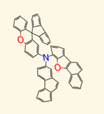 c1ccc2c(c1)Oc1ccc(N(c3ccc4c(ccc5ccccc54)c3)c3cccc4c3oc3c5ccccc5ccc43)cc1C21c2ccccc2-c2ccccc21